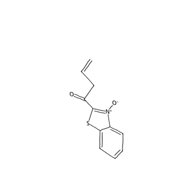 C=CCC(=O)c1sc2ccccc2[n+]1[O-]